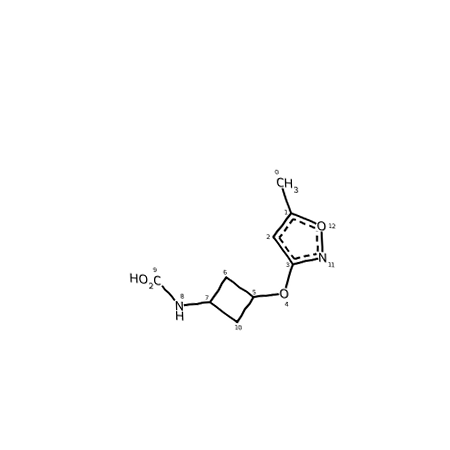 Cc1cc(OC2CC(NC(=O)O)C2)no1